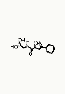 O=C(NCB(O)O)C1CC(C2CCCCC2)=NO1